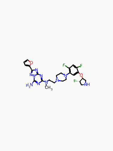 CN(CCN1CCN(c2cc(O[C@H]3CNC[C@@H]3F)c(F)cc2F)CC1)c1nc(N)n2nc(-c3ccco3)nc2n1